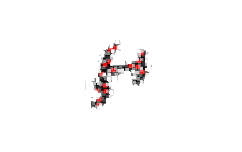 CCC(C(=O)O)c1c(C)n(C(=O)c2ccc(OC(F)F)cc2)c2ccc(O)cc12.COc1ccc2c(c1)c(CC(=O)NCCO)c(C)n2C(=O)c1ccc(OC(F)F)cc1.Cc1c(C(C)C(=O)O)c2cc(O)ccc2n1C(=O)c1ccc(OC(F)F)cc1